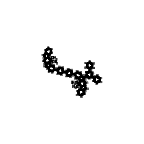 CC1(C)C2=c3ccccc3=CC2=Cc2cc3ccn(-c4ccc(-c5ccc(-n6ccc7c(-c8nc(-c9ccccc9)nc(-c9ccccc9)n8)c8c(c-7c6)C(C)(C)C6=c7ccccc7=CC6=C8)cc5)cc4)cc-3c21